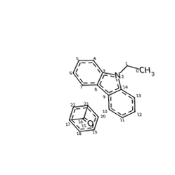 CCn1c2ccccc2c2ccccc21.O=C1c2cccc1c2